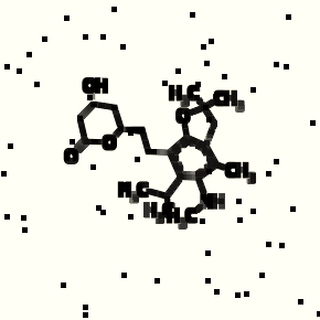 CNc1c(C)c2c(c(CC[C@@H]3C[C@@H](O)CC(=O)O3)c1C(C)C)OC(C)(C)C2